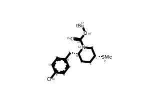 CS[C@@H]1CC[C@H](Cc2ccc(Cl)cc2)N(C(=O)OC(C)(C)C)C1